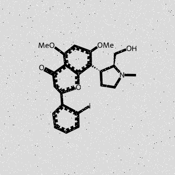 COc1cc(OC)c2c(=O)cc(-c3ccccc3I)oc2c1[C@H]1CCN(C)[C@@H]1CO